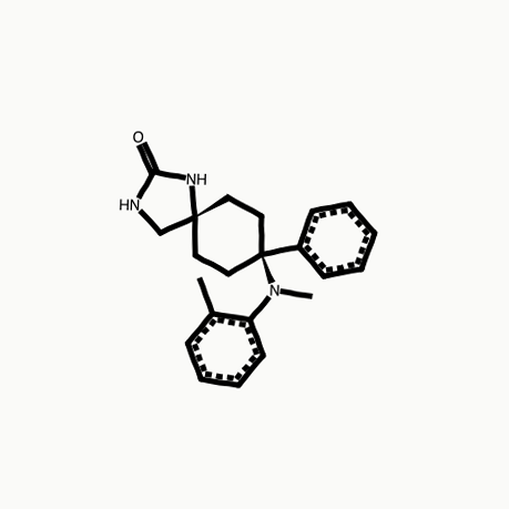 Cc1ccccc1N(C)[C@]1(c2ccccc2)CC[C@@]2(CC1)CNC(=O)N2